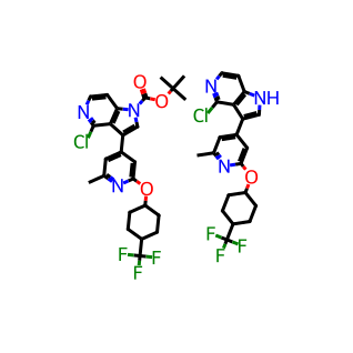 Cc1cc(-c2c[nH]c3ccnc(Cl)c23)cc(OC2CCC(C(F)(F)F)CC2)n1.Cc1cc(-c2cn(C(=O)OC(C)(C)C)c3ccnc(Cl)c23)cc(OC2CCC(C(F)(F)F)CC2)n1